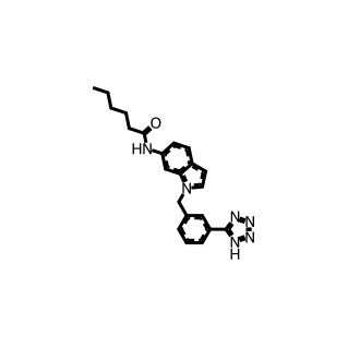 CCCCCC(=O)Nc1ccc2ccn(Cc3cccc(-c4nnn[nH]4)c3)c2c1